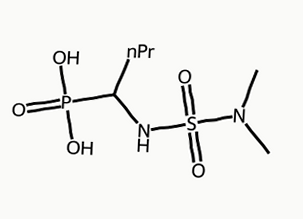 CCCC(NS(=O)(=O)N(C)C)P(=O)(O)O